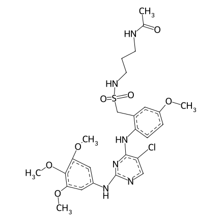 COc1ccc(Nc2nc(Nc3cc(OC)c(OC)c(OC)c3)ncc2Cl)c(CS(=O)(=O)NCCCNC(C)=O)c1